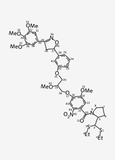 CCSC(SCC)C1CCCN1C(=O)c1cc(OC)c(OCC(COc2cccc(C3CC(c4cc(OC)c(OC)c(OC)c4)=NO3)c2)OC)cc1[N+](=O)[O-]